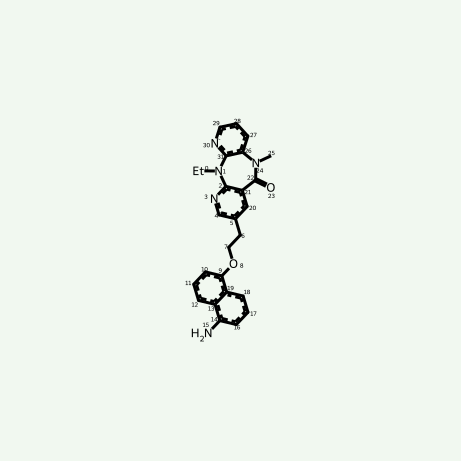 CCN1c2ncc(CCOc3cccc4c(N)cccc34)cc2C(=O)N(C)c2cccnc21